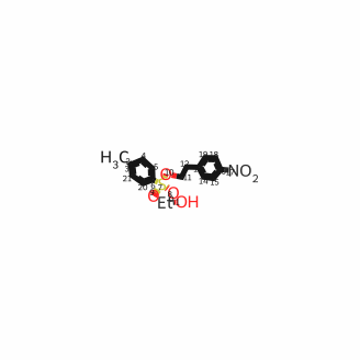 CCO.Cc1ccc(S(=O)(=O)OCCc2ccc([N+](=O)[O-])cc2)cc1